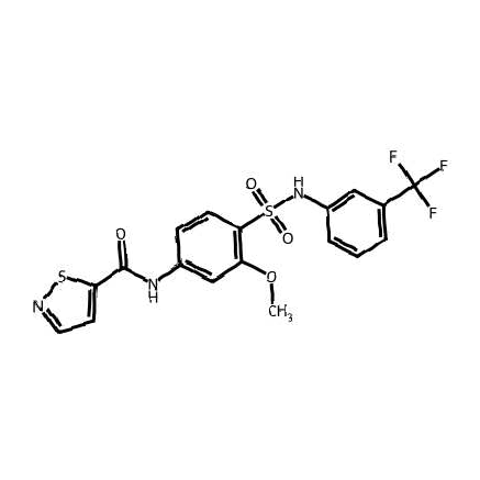 COc1cc(NC(=O)c2ccns2)ccc1S(=O)(=O)Nc1cccc(C(F)(F)F)c1